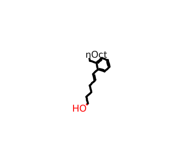 CCCCCCCCCc1ccccc1C=CCCCCO